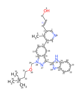 Cc1c(/C=C/CO)cncc1-c1ccc2c(c1)c(-c1nc3ccccc3[nH]1)nn2COCC[Si](C)(C)C